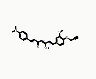 C#CCOc1ccc(/C=C/C(O)=C/C(=O)/C=C/c2ccc(N(C)C)cc2)cc1OC